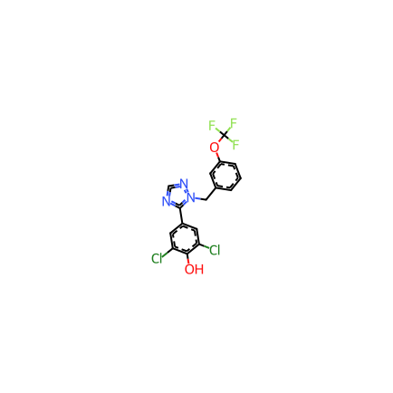 Oc1c(Cl)cc(-c2ncnn2Cc2cccc(OC(F)(F)F)c2)cc1Cl